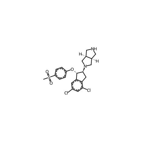 CS(=O)(=O)c1ccc(O[C@H]2c3cc(Cl)cc(Cl)c3C[C@@H]2N2C[C@H]3CNC[C@H]3C2)cc1